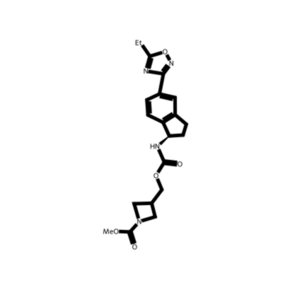 CCc1nc(-c2ccc3c(c2)CC[C@H]3NC(=O)OCC2CN(C(=O)OC)C2)no1